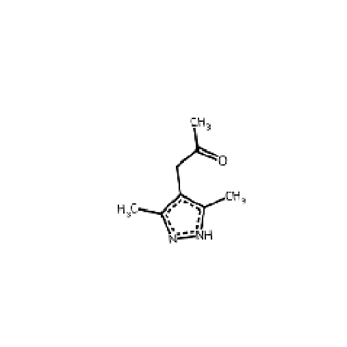 CC(=O)Cc1c(C)n[nH]c1C